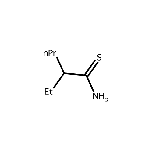 CCCC(CC)C(N)=S